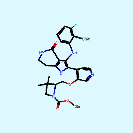 COc1c(F)cccc1Nc1c(-c2ccncc2OCC2N(C(=O)OC(C)(C)C)CC2(C)C)[nH]c2c1C(=O)NCC2